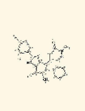 Cn1cc(-c2ccccc2)c(-c2cn(C)c(=O)c3[nH]c(-c4ccc(F)cc4F)cc23)cc1=O